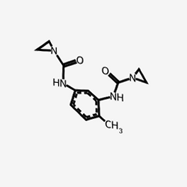 Cc1ccc(NC(=O)N2CC2)cc1NC(=O)N1CC1